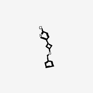 Clc1ccc(C2CC(OCc3ccccc3)C2)cn1